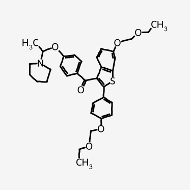 CCOCOc1ccc(-c2sc3cc(OCOCC)ccc3c2C(=O)c2ccc(OC(C)N3CCCCC3)cc2)cc1